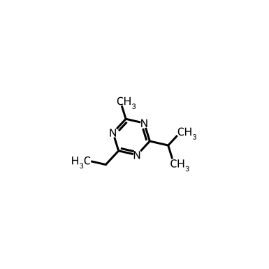 CCc1nc(C)nc(C(C)C)n1